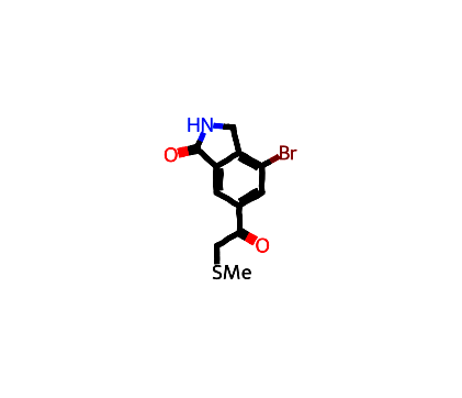 CSCC(=O)c1cc(Br)c2c(c1)C(=O)NC2